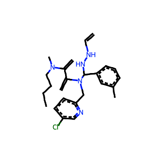 C=CNNC(c1cccc(C)c1)N(Cc1ccc(Cl)cn1)C(=C)C(=C)N(C)CCCC